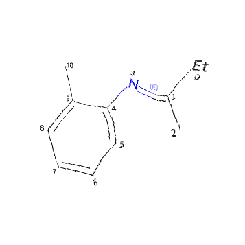 CC/C(C)=N/c1ccccc1C